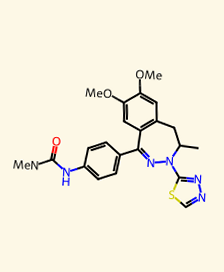 CNC(=O)Nc1ccc(C2=NN(c3nncs3)C(C)Cc3cc(OC)c(OC)cc32)cc1